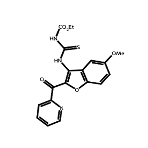 CCOC(=O)NC(=S)Nc1c(C(=O)c2ccccn2)oc2ccc(OC)cc12